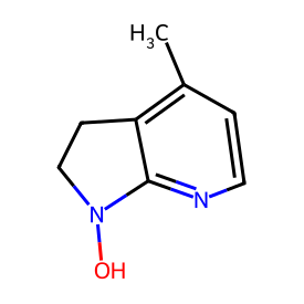 Cc1ccnc2c1CCN2O